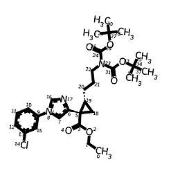 CCOC(=O)[C@@]1(c2cn(-c3cccc(Cl)c3)cn2)C[C@H]1CCCN(C(=O)OC(C)(C)C)C(=O)OC(C)(C)C